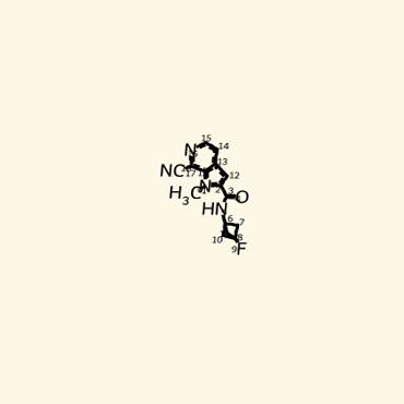 Cn1c(C(=O)NC23CC(F)(C2)C3)cc2ccnc(C#N)c21